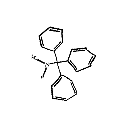 CC(=O)N(F)C(c1ccccc1)(c1ccccc1)c1ccccc1